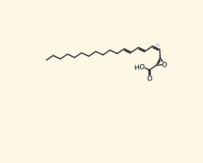 CCCCCCCCCCCC=CC=C/C=C\C1=C(C(=O)O)O1